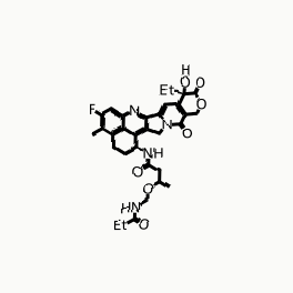 CCC(=O)NCOC(C)CC(=O)N[C@H]1CCc2c(C)c(F)cc3nc4c(c1c23)Cn1c-4cc2c(c1=O)COC(=O)[C@]2(O)CC